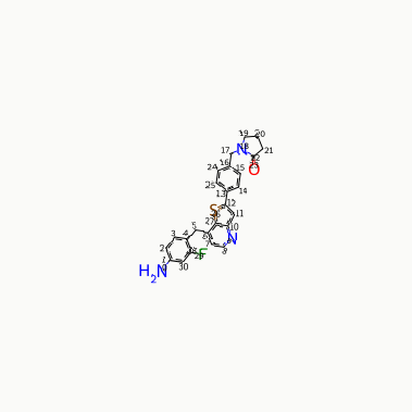 Nc1ccc(Cc2ccnc3cc(-c4ccc(CN5CCCC5=O)cc4)sc23)c(F)c1